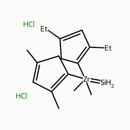 CCC1=CC(CC)=[C]([Zr]([CH3])([CH3])(=[SiH2])[C]2=C(C)C=C(C)C2)C1.Cl.Cl